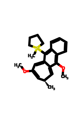 COC1=C[C@@H](C)C=c2c(OC)c3ccccc3c(S3(C)CCCC3)c2=C1